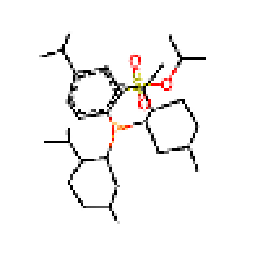 CC1CCC(C(C)C)C(P(c2ccc(C(C)C)cc2S(=O)(=O)OC(C)C)C2CC(C)CCC2C(C)C)C1